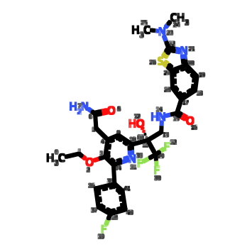 CCOc1c(CC(N)=O)cc([C@@](O)(CNC(=O)c2ccc3nc(N(C)C)sc3c2)C(F)(F)F)nc1-c1ccc(F)cc1